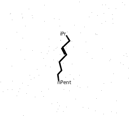 CCCCCCCCC=CCC(C)C